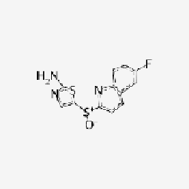 Nc1ncc([S+]([O-])c2ccc3cc(F)ccc3n2)s1